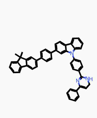 CC1(C)c2ccccc2-c2ccc(-c3ccc(-c4ccc5c6ccccc6n(-c6ccc(C7=NC(c8ccccc8)=CCN7)cc6)c5c4)cc3)cc21